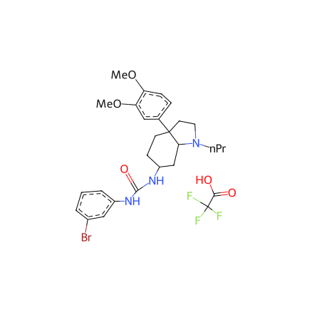 CCCN1CCC2(c3ccc(OC)c(OC)c3)CCC(NC(=O)Nc3cccc(Br)c3)CC12.O=C(O)C(F)(F)F